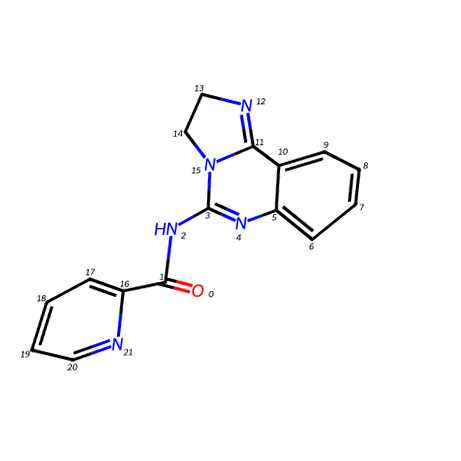 O=C(NC1=Nc2ccccc2C2=NCCN12)c1ccccn1